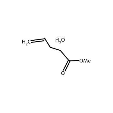 C=CCCC(=O)OC.O